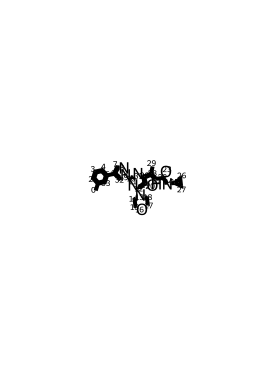 Cc1cccc(-c2cnn(-c3nc(N4CCOCC4)c4oc(C(=O)NC5CC5)c(C)c4n3)c2)c1